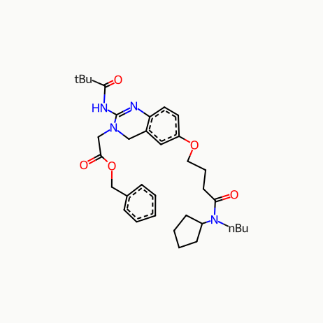 CCCCN(C(=O)CCCOc1ccc2c(c1)CN(CC(=O)OCc1ccccc1)C(NC(=O)C(C)(C)C)=N2)C1CCCC1